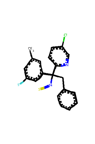 Fc1cc(C(F)(F)F)cc(C(Cc2ccccc2)(N=S)c2ccc(Cl)cn2)c1